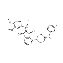 [CH2]C[C@H](c1ccc(OC)c(OC)c1)N1C(=O)c2cccc(N3CCN(C(C)c4ccccc4)CC3)c2C1=O